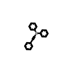 C(#Cc1ccccc1)B(c1ccccc1)c1ccccc1